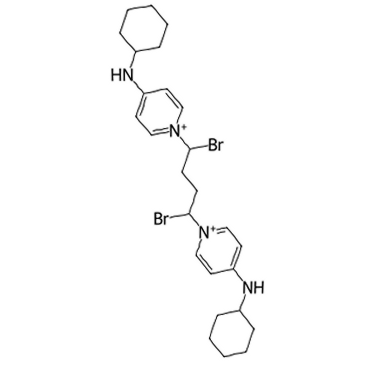 BrC(CCC(Br)[n+]1ccc(NC2CCCCC2)cc1)[n+]1ccc(NC2CCCCC2)cc1